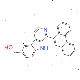 OCc1ccc2[nH]c3c(-c4cc5ccccc5c5ccccc45)nccc3c2c1